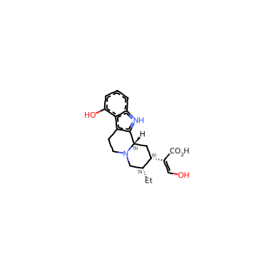 CC[C@@H]1CN2CCc3c([nH]c4cccc(O)c34)[C@@H]2C[C@@H]1C(=CO)C(=O)O